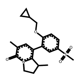 Cc1cc(-c2cc(S(C)(=O)=O)ccc2OCC2CC2)c2n(c1=O)CCC2C